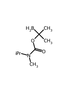 BC(C)(C)OC(=O)N(C)C(C)C